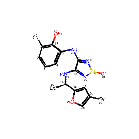 [C-]#[N+]c1cccc(Nc2n[s+]([O-])nc2N[C@H](CC)c2cc(C(C)C)co2)c1O